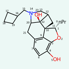 CCC[C@@H]1Oc2c(O)ccc3c2[C@@]12CC1CN(CC4CCC4)C(C3)[C@]12O